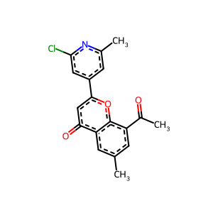 CC(=O)c1cc(C)cc2c(=O)cc(-c3cc(C)nc(Cl)c3)oc12